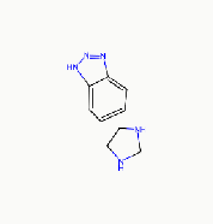 C1CNCN1.c1ccc2[nH]nnc2c1